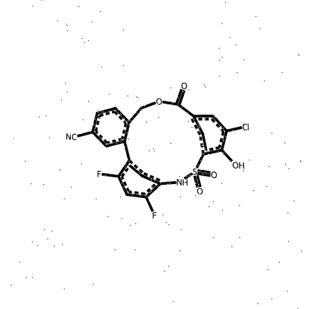 N#Cc1ccc2c(c1)-c1cc(c(F)cc1F)NS(=O)(=O)c1cc(cc(Cl)c1O)C(=O)OC2